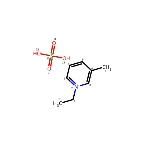 CC[n+]1cccc(C)c1.O=S(=O)(O)O